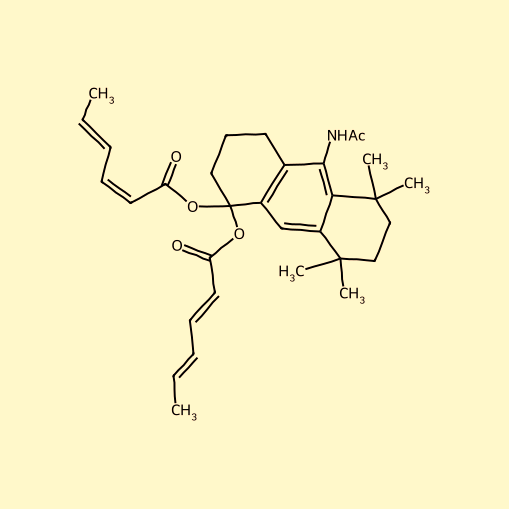 CC=CC=CC(=O)OC1(OC(=O)/C=C\C=CC)CCCc2c1cc1c(c2NC(C)=O)C(C)(C)CCC1(C)C